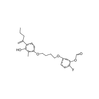 C=C(CCC)c1ccc(OCCCCOc2ccc(F)c(OC=O)c2)c(C)c1O